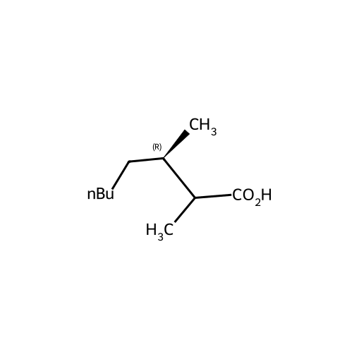 CCCCC[C@@H](C)C(C)C(=O)O